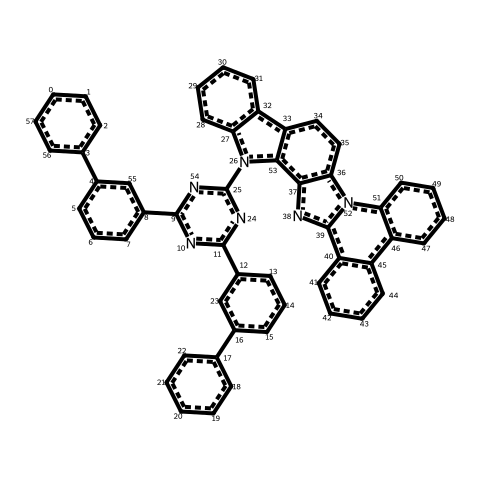 c1ccc(-c2cccc(-c3nc(-c4cccc(-c5ccccc5)c4)nc(-n4c5ccccc5c5ccc6c(nc7c8ccccc8c8ccccc8n67)c54)n3)c2)cc1